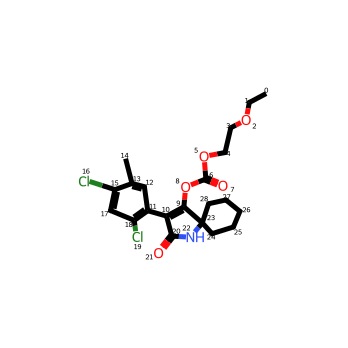 CCOCCOC(=O)OC1=C(c2cc(C)c(Cl)cc2Cl)C(=O)NC12CCCCC2